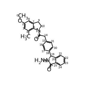 COc1cc(C)c2c(c1)CCN2C(=O)Cc1ccc(C2c3ccccc3C(=O)N2N)cc1